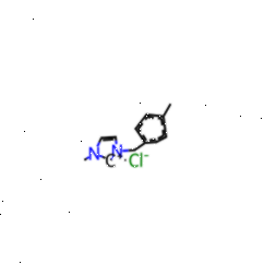 Cc1ccc(CN2[C+]N(C)C=C2)cc1.[Cl-]